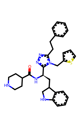 O=C(N[C@H](CC1CNc2ccccc21)c1nnc(CCc2ccccc2)n1Cc1cccs1)C1CCNCC1